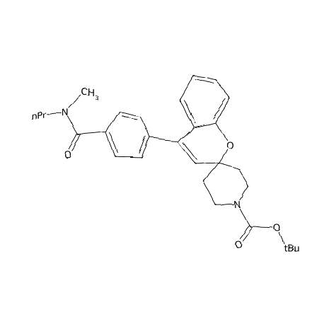 CCCN(C)C(=O)c1ccc(C2=CC3(CCN(C(=O)OC(C)(C)C)CC3)Oc3ccccc32)cc1